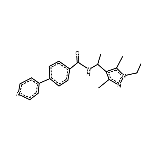 CCn1nc(C)c(C(C)NC(=O)c2ccc(-c3ccncc3)cc2)c1C